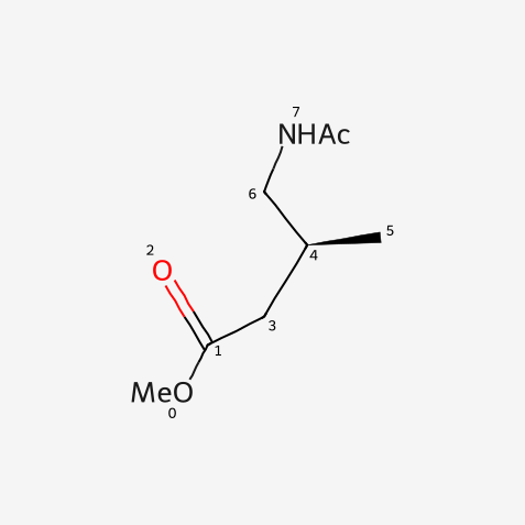 COC(=O)C[C@H](C)CNC(C)=O